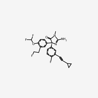 CN1C(=O)[C@@](c2ccc(F)c(C#CC3CC3)c2)(c2ccc(OC(F)F)c(CCF)c2)N=C1N